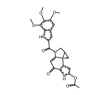 COc1cc2cc(C(=O)N3CC4C[C@@]45C3=CC(=O)c3[nH]c(OC(C)=O)cc35)[nH]c2c(OC)c1OC